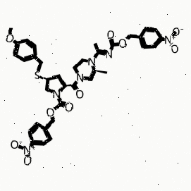 COc1ccc(CS[C@H]2C[C@@H](C(=O)N3CCN(C(C)=NC(=O)OCc4ccc([N+](=O)[O-])cc4)[C@@H](C)C3)N(C(=O)OCc3ccc([N+](=O)[O-])cc3)C2)cc1